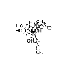 Cc1nc(C(=O)NC(C(=O)O)C(NC(=O)c2ncc3cc(Oc4ccc(C(F)(F)F)cc4)ccc3c2CO)C(=O)O)c(O)c2ccc(Sc3ccccc3)cc12